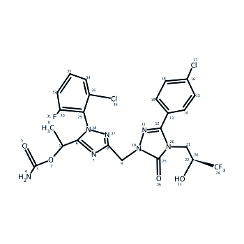 CC(OC(N)=O)c1nc(Cn2nc(-c3ccc(Cl)cc3)n(C[C@H](O)C(F)(F)F)c2=O)nn1-c1c(F)cccc1Cl